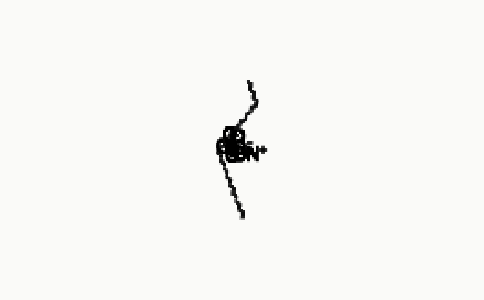 CCCCC/C=C\CCCCCCCC(=O)O[C@H](CO/C=C\CCCCCCCCCCCCCCCC)COP(=O)([O-])OCC[N+](C)(C)C